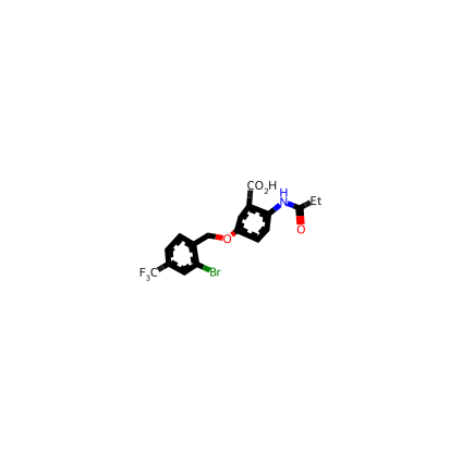 CCC(=O)Nc1ccc(OCc2ccc(C(F)(F)F)cc2Br)cc1C(=O)O